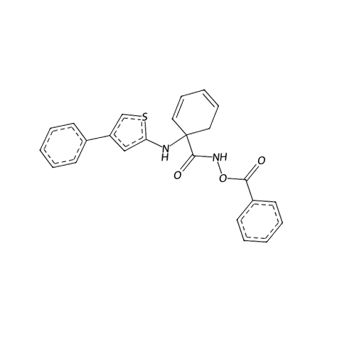 O=C(ONC(=O)C1(Nc2cc(-c3ccccc3)cs2)C=CC=CC1)c1ccccc1